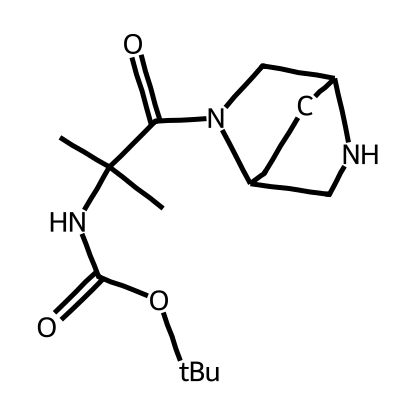 CC(C)(C)OC(=O)NC(C)(C)C(=O)N1CC2CCC1CN2